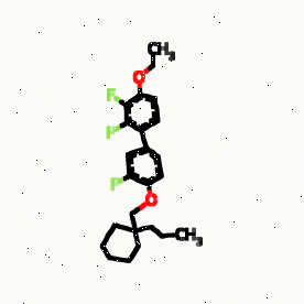 CCCC1(COc2ccc(-c3ccc(OCC)c(F)c3F)cc2F)CCCCC1